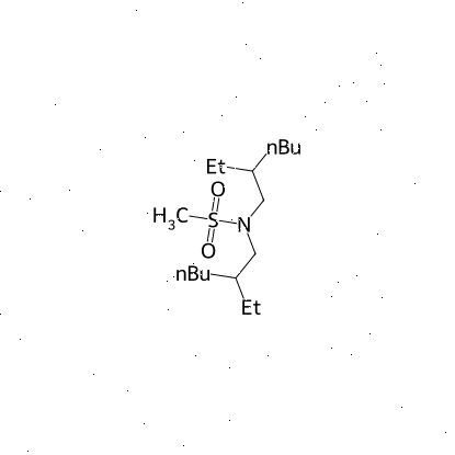 CCCCC(CC)CN(CC(CC)CCCC)S(C)(=O)=O